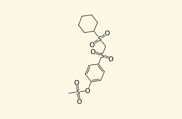 CS(=O)(=O)Oc1ccc(S(=O)(=O)CS(=O)(=O)C2CCCCC2)cc1